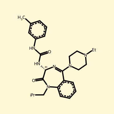 CCN1CCN(C2=N[C@@H](NC(=O)Nc3cccc(C)c3)C(=O)N(CC(C)C)c3ccccc32)CC1